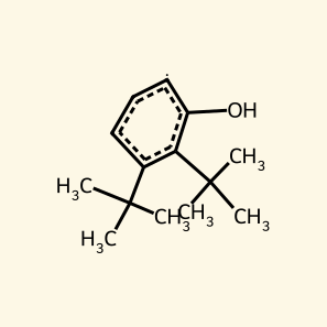 CC(C)(C)c1cc[c]c(O)c1C(C)(C)C